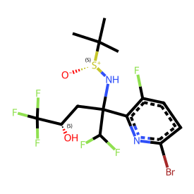 CC(C)(C)[S@@+]([O-])NC(C[C@H](O)C(F)(F)F)(c1nc(Br)ccc1F)C(F)F